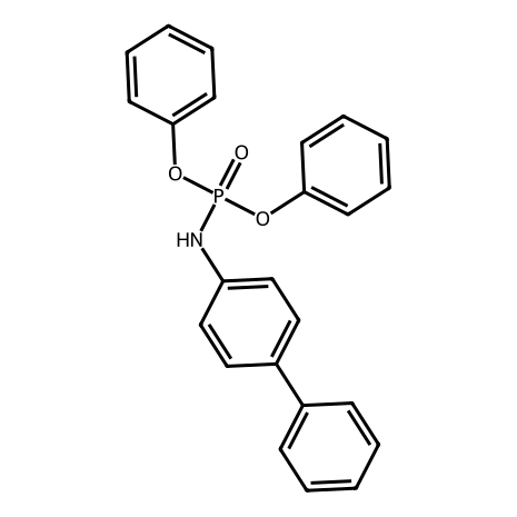 O=P(Nc1ccc(-c2ccccc2)cc1)(Oc1ccccc1)Oc1ccccc1